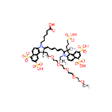 CC[N+]1=C(/C=C/C=C/C=C2/N(CCCCCC(=O)O)c3ccc4c(S(=O)(=O)[O-])cc(S(=O)(=O)O)cc4c3C2(C)CCOCCOCCOCCOCCOC)C(C)(CCCS(=O)(=O)O)c2c1ccc1c(S(=O)(=O)O)cc(S(=O)(=O)O)cc21